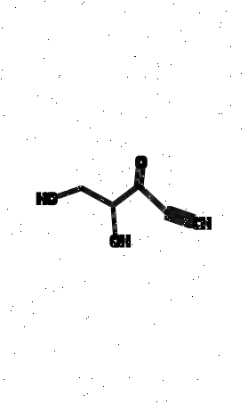 C#CC(=O)C(O)CO